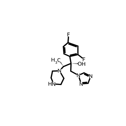 C[C@@H](N1CCNCC1)[C@](O)(Cn1cncn1)c1ccc(F)cc1F